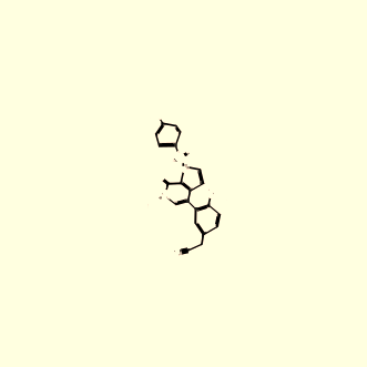 Cc1ccc(S(=O)(=O)n2ccc3c(-c4cc(CC#N)ccc4N)cn(C)c(=O)c32)cc1